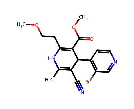 COCCC1=C(C(=O)OC)C(c2ccncc2Br)C(C#N)=C(C)N1